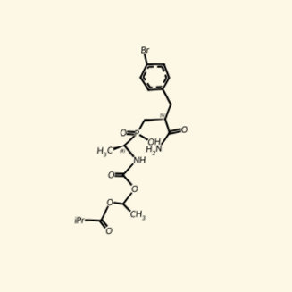 CC(OC(=O)N[C@@H](C)P(=O)(O)C[C@@H](Cc1ccc(Br)cc1)C(N)=O)OC(=O)C(C)C